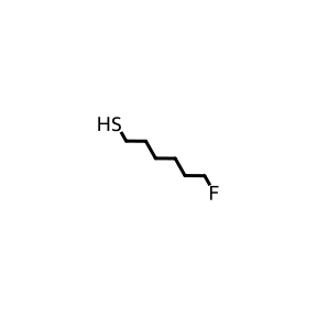 FCCCCCCS